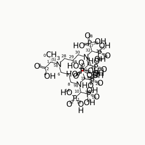 C[C@@H](C(=O)O)N(CCCN(C(P(=O)(O)O)P(=O)(O)O)C(P(=O)(O)O)P(=O)(O)O)CCCN(C(P(=O)(O)O)P(=O)(O)O)C(P(=O)(O)O)P(=O)(O)O